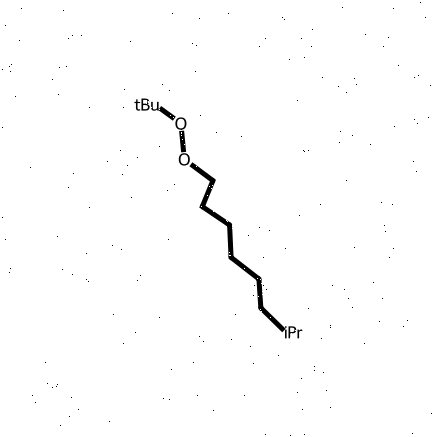 CC(C)CCCCCCOOC(C)(C)C